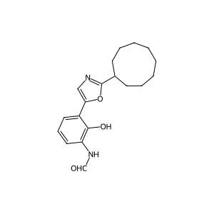 O=CNc1cccc(-c2cnc(C3CCCCCCCC3)o2)c1O